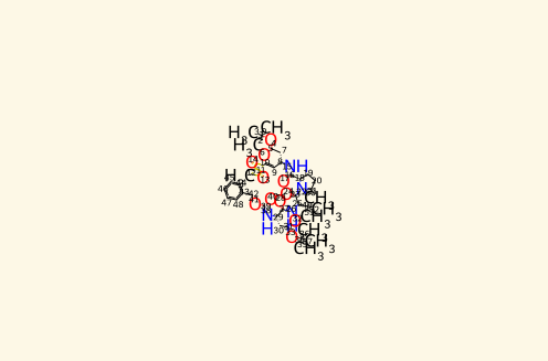 CC(C)(C)OC(=O)C[C@@H](/C=C/S(C)(=O)=O)NC(=O)[C@H]1CCCN1C(=O)[C@H](NC(=O)[C@H](CC(=O)OC(C)(C)C)NC(=O)OCc1ccccc1)C(C)(C)C